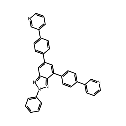 c1ccc(-n2nc3cc(-c4ccc(-c5cccnc5)cc4)cc(-c4ccc(-c5cccnc5)cc4)c3n2)cc1